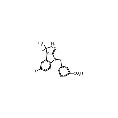 CC1(C)C[C@@]12C(=O)N(Cc1cccc(C(=O)O)c1)c1ccc(F)cc12